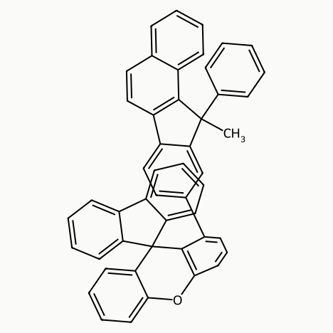 CC1(c2ccccc2)c2cc(-c3cccc4c3C3(c5ccccc5O4)c4ccccc4-c4ccccc43)ccc2-c2ccc3ccccc3c21